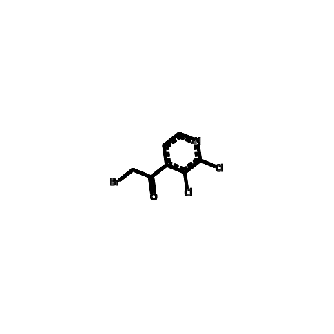 O=C(CBr)c1ccnc(Cl)c1Cl